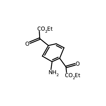 CCOC(=O)C(=O)c1ccc(C(=O)C(=O)OCC)c(N)c1